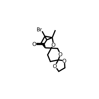 CC12CCC(C(=O)C1Br)C1(CCC3(OCCO3)OC1)O2